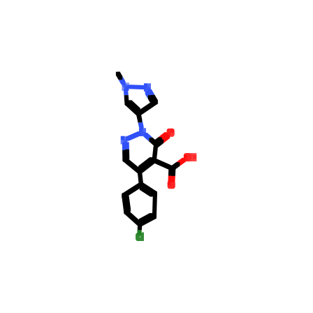 Cn1cc(-n2ncc(-c3ccc(Cl)cc3)c(C(=O)O)c2=O)cn1